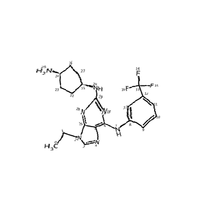 CCn1cnc2c(Nc3cccc(C(F)(F)F)c3)nc(N[C@H]3CC[C@@H](N)CC3)nc21